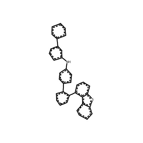 c1ccc(-c2cccc(Nc3ccc(-c4ccccc4-c4cccc5sc6ccccc6c45)cc3)c2)cc1